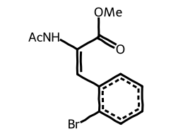 COC(=O)C(=Cc1ccccc1Br)NC(C)=O